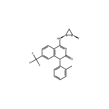 Cc1ccccc1-n1c(=O)nc(N[C@H]2C[C@H]2F)c2ccc(C(F)(F)F)cc21